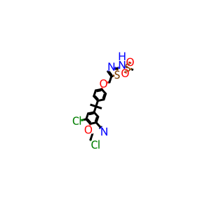 CC(C)(c1ccc(OCc2cnc(NS(C)(=O)=O)s2)cc1)c1cc(Cl)c(OCCCl)c(C#N)c1